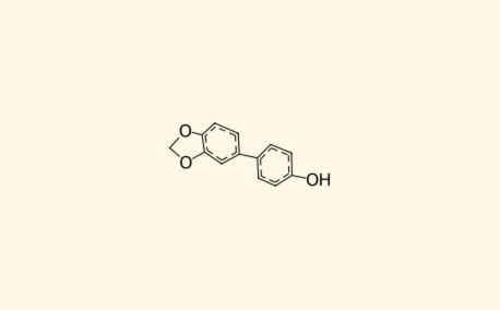 Oc1ccc(-c2ccc3c(c2)OCO3)cc1